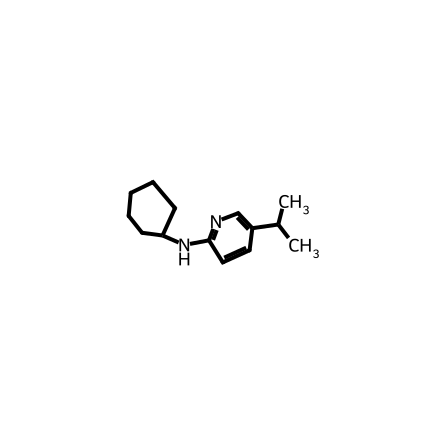 CC(C)c1ccc(NC2CCCCC2)nc1